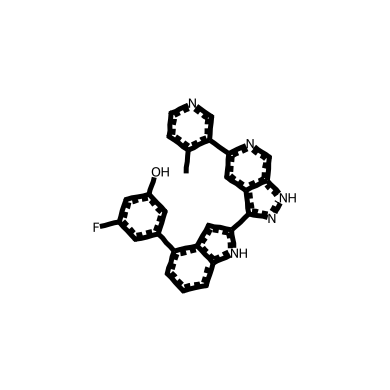 Cc1ccncc1-c1cc2c(-c3cc4c(-c5cc(O)cc(F)c5)cccc4[nH]3)n[nH]c2cn1